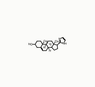 C[C@]12CCC(O)CC1=CC[C@@H]1[C@H]2CC[C@]2(C)C(c3ncc[nH]3)CC[C@@H]12